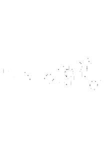 CC(O)C(NC(=O)CCc1ccc([C@]2(C)C(=O)Nc3nc(-c4nn(Cc5ccccc5F)c5ncccc45)nc(N)c32)cc1)C(=O)O